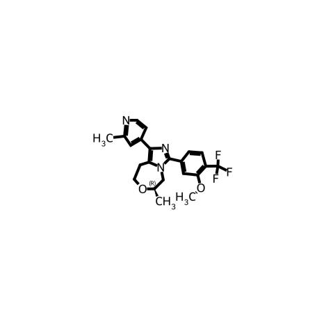 COc1cc(-c2nc(-c3ccnc(C)c3)c3n2C[C@@H](C)OCC3)ccc1C(F)(F)F